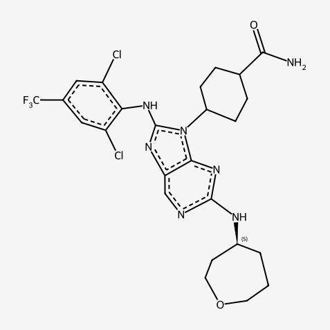 NC(=O)C1CCC(n2c(Nc3c(Cl)cc(C(F)(F)F)cc3Cl)nc3cnc(N[C@H]4CCCOCC4)nc32)CC1